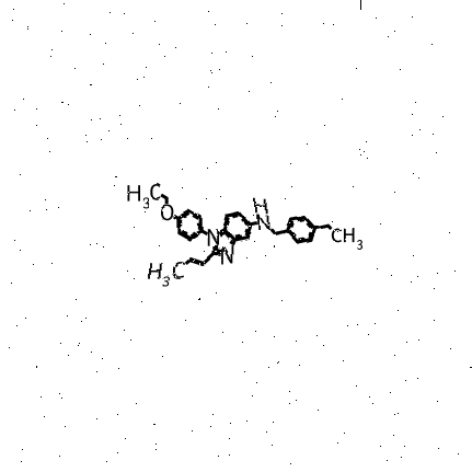 CCCc1nc2cc(NCc3ccc(CC)cc3)ccc2n1-c1ccc(OCC)cc1